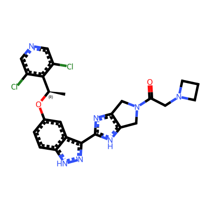 C[C@@H](Oc1ccc2[nH]nc(-c3nc4c([nH]3)CN(C(=O)CN3CCC3)C4)c2c1)c1c(Cl)cncc1Cl